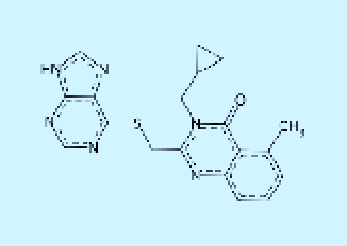 Cc1cccc2nc(CSc3ncnc4[nH]cnc34)n(CC3CC3)c(=O)c12